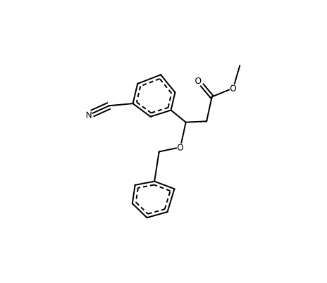 COC(=O)CC(OCc1ccccc1)c1cccc(C#N)c1